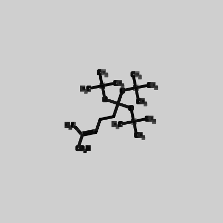 CC(=CCCC(O[Si](C)(C)C)(O[Si](C)(C)C)O[Si](C)(C)C)C(=O)O